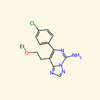 CCOCCc1c(-c2ccc(Cl)cc2)nc(N)n2ncnc12